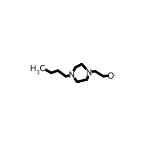 CCCCN1CCN(CC[O])CC1